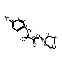 O=C(Oc1ccc(F)cc1)C(=O)ON1CCOCC1